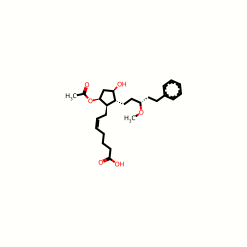 CO[C@@H](CCc1ccccc1)CC[C@@H]1[C@@H](C/C=C\CCCC(=O)O)[C@@H](OC(C)=O)C[C@H]1O